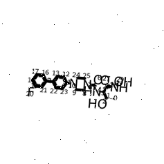 C[C@H](O)[C@@H](NC(=O)N1CCN(c2ccc(-c3cccc(F)c3)cc2)CC1)C(=O)NO